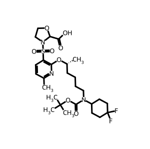 Cc1ccc(S(=O)(=O)N2CCOC2C(=O)O)c(O[C@H](C)CCCCN(C(=O)OC(C)(C)C)C2CCC(F)(F)CC2)n1